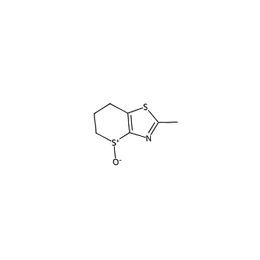 Cc1nc2c(s1)CCC[S+]2[O-]